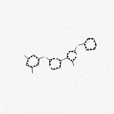 COc1cc(Nc2nccc(-c3sc(Nc4ccccc4)nc3C)n2)cc(OC)c1